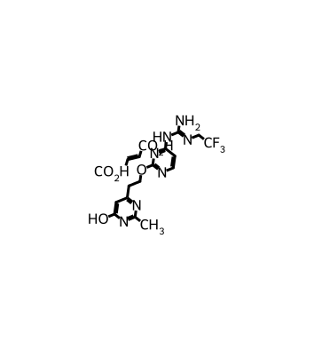 Cc1nc(O)cc(CCOc2nccc(NC(N)=NCC(F)(F)F)n2)n1.O=C(O)C=CC(=O)O